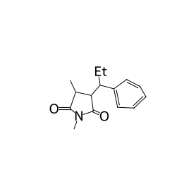 CCC(c1ccccc1)C1C(=O)N(C)C(=O)C1C